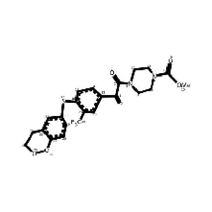 C=C(C(=O)N1CCN(C(=O)OC)CC1)c1ccc(Sc2ccc3c(c2)CCOO3)c(C(F)(F)F)c1